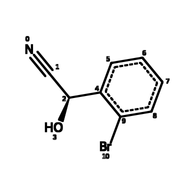 N#C[C@H](O)c1ccccc1Br